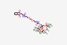 CC(C)(Br)C(=O)OCC(COCC(=O)NCCOCCOCCNC(=O)CCN1C(=O)C2C3C=CC(O3)C2C1=O)(COC(=O)C(C)(C)Br)COC(=O)C(C)(C)Br